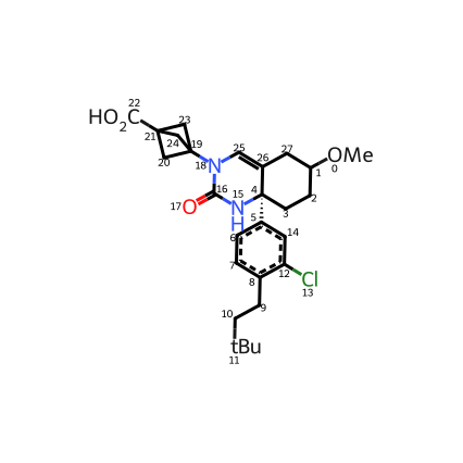 COC1CC[C@@]2(c3ccc(CCC(C)(C)C)c(Cl)c3)NC(=O)N(C34CC(C(=O)O)(C3)C4)C=C2C1